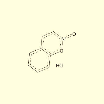 Cl.O=[n+]1ccc2ccccc2o1